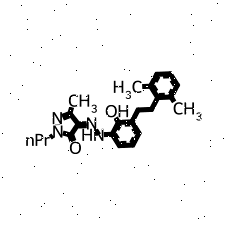 CCCN1N=C(C)/C(=N/Nc2cccc(CCc3c(C)cccc3C)c2O)C1=O